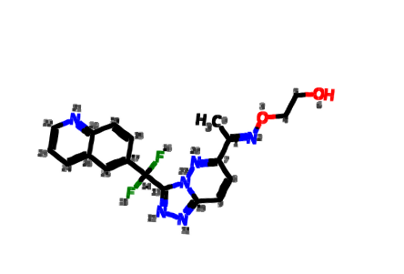 C/C(=N\OCCO)c1ccc2nnc(C(F)(F)c3ccc4ncccc4c3)n2n1